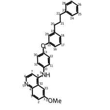 COc1ccc2nccc(Nc3ccc(Oc4cccc(CCCc5ccccc5)c4)cc3)c2c1